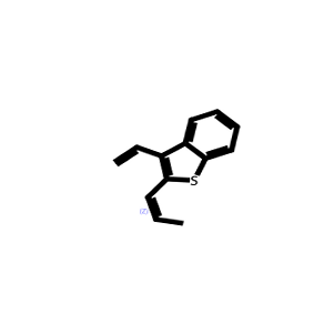 C=Cc1c(/C=C\C)sc2ccccc12